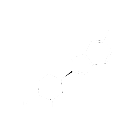 C[C@@H]1CC[C@@H](c2nc3ccc(F)cc3o2)CN1